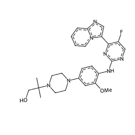 COc1cc(N2CCN(C(C)(C)CO)CC2)ccc1Nc1ncc(F)c(-c2cnc3ccccn23)n1